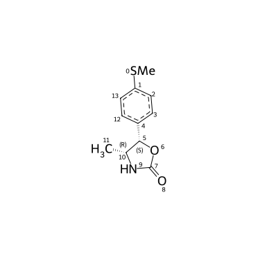 CSc1ccc([C@@H]2OC(=O)N[C@@H]2C)cc1